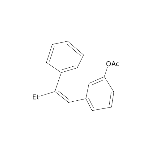 CCC(=Cc1cccc(OC(C)=O)c1)c1ccccc1